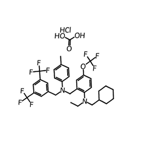 CCN(CC1CCCCC1)c1ccc(OC(F)(F)F)cc1CN(Cc1cc(C(F)(F)F)cc(C(F)(F)F)c1)c1ccc(C)cc1.Cl.O=C(O)O